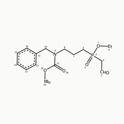 CCOP(=O)(CC=O)CCCN(Cc1ccccc1)C(=O)OC(C)(C)C